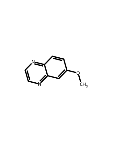 COc1ccc2nccnc2c1